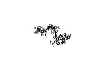 CC[C@H]1C[C@@H](C(=O)NCCNC(=O)CCC(C)(C)OCCC(C)(C)C(=O)NCCNC(=O)[C@H]2CC[C@H](O[C@@H]3O[C@@H](C)[C@@H](O)C[C@@H]3O)[C@@H](CC)C2)C[C@@H](OC[C@@H]2O[C@H](CO)[C@H](O)[C@H](O[C@@H](CC3CCCCC3)C(=O)O)[C@H]2NC(C)=O)[C@@H]1O[C@@H]1O[C@@H](C)CC[C@@H]1O